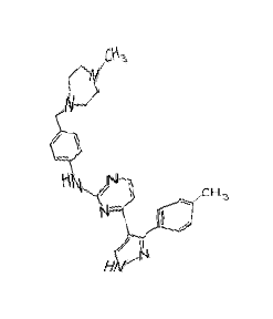 Cc1ccc(-c2n[nH]cc2-c2ccnc(Nc3ccc(CN4CCN(C)CC4)cc3)n2)cc1